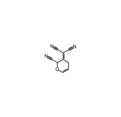 N#CC(C#N)=C1CC=COC1C#N